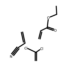 C=C(Cl)Cl.C=CC#N.C=CC(=O)OCC